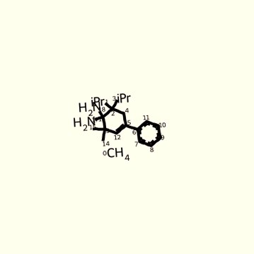 C.CC(C)C1(C(C)C)CC(c2ccccc2)=CC(C)(C)C1(N)N